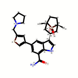 NC(=O)c1cc(-c2csc(CN3CCCC3)c2)cc2c([C@H]3C[C@H]4CC[C@@H](C3)S4(=O)=O)c[nH]c12